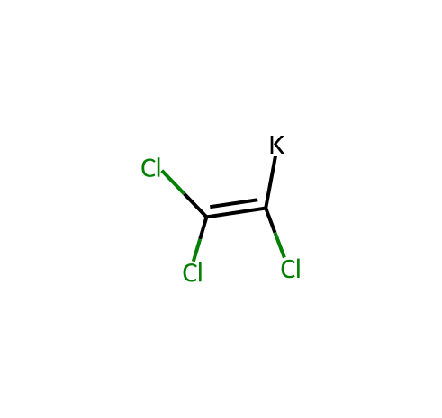 ClC(Cl)=[C](Cl)[K]